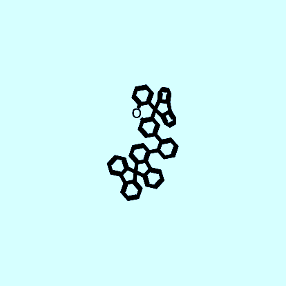 C1=CCC(c2cccc3c2-c2ccccc2C32c3ccccc3-c3ccccc32)C(c2ccc3c(c2)C2(c4ccccc4O3)c3ccccc3-c3ccccc32)=C1